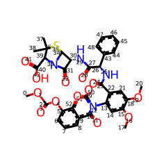 COC(=O)Oc1cccc2c(=O)n(-c3cc(OC)c(OC)cc3C(=O)N[C@@H](C(=O)N[C@@H]3C(=O)N4C3SC(C)(C)C4C(=O)O)c3ccccc3)c(=O)oc12